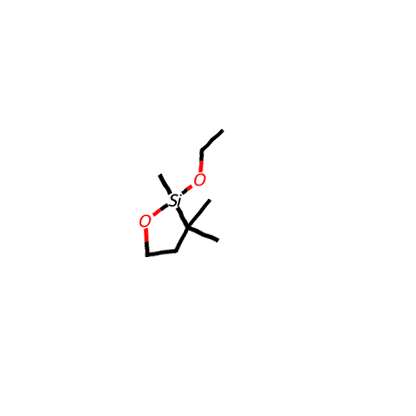 CCO[Si]1(C)OCCC1(C)C